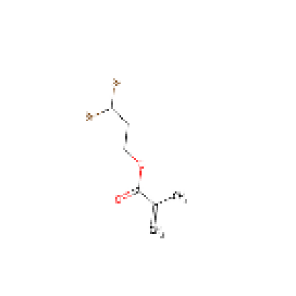 C=C(C)C(=O)OCCC(Br)Br